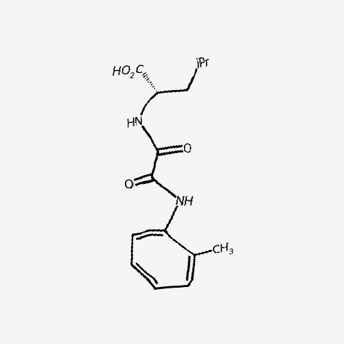 Cc1ccccc1NC(=O)C(=O)N[C@@H](CC(C)C)C(=O)O